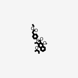 CCOC(=O)Cc1ccc(N2C(=O)c3c(c(OC(C)CC)c4ccccc4c3OC)C2C)cc1